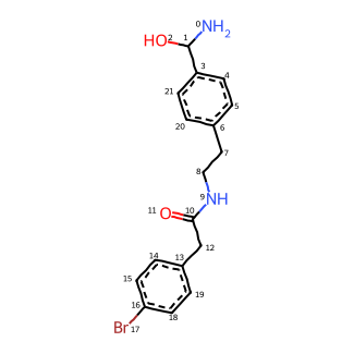 NC(O)c1ccc(CCNC(=O)Cc2ccc(Br)cc2)cc1